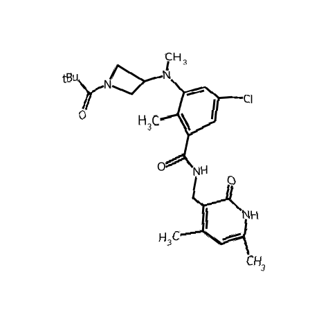 Cc1cc(C)c(CNC(=O)c2cc(Cl)cc(N(C)C3CN(C(=O)C(C)(C)C)C3)c2C)c(=O)[nH]1